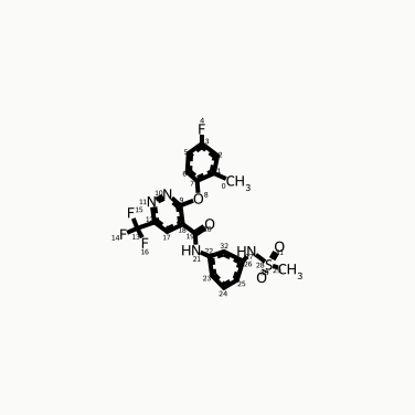 Cc1cc(F)ccc1Oc1nnc(C(F)(F)F)cc1C(=O)Nc1cccc(NS(C)(=O)=O)c1